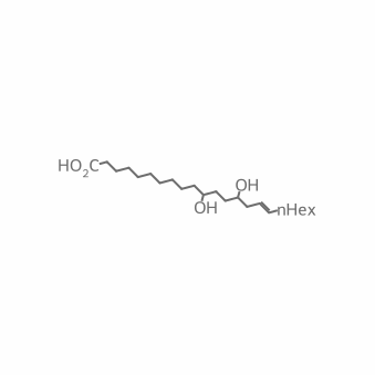 CCCCCCC=CCC(O)CCC(O)CCCCCCCCCC(=O)O